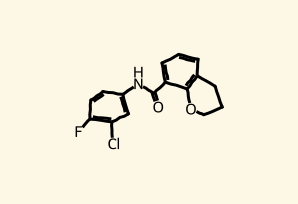 O=C(Nc1ccc(F)c(Cl)c1)c1cccc2c1OCCC2